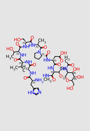 CNC(=O)[C@@H](NC(=O)[C@H](CC(=O)O)NC(=O)[C@@H]1CCCN1C(=O)[C@H](C)NC(=O)[C@H](CO)NC(=O)[C@@H](NC(=O)[C@@H](NC(=O)CNC(=O)[C@@H](N)Cc1cnc[nH]1)C(C)C)C(C)O)C(C)O[C@H]1OC(CO)[C@H](O)[C@H](O)C1NC(C)=O